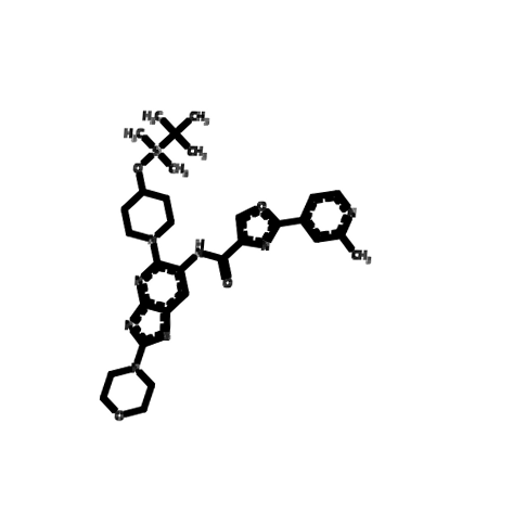 Cc1cc(-c2nc(C(=O)Nc3cc4sc(N5CCOCC5)nc4nc3N3CCC(O[Si](C)(C)C(C)(C)C)CC3)co2)ccn1